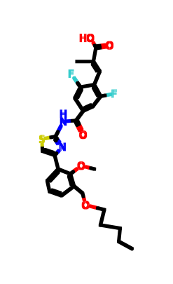 CCCCCOCc1cccc(-c2csc(NC(=O)c3cc(F)c(C=C(C)C(=O)O)c(F)c3)n2)c1OC